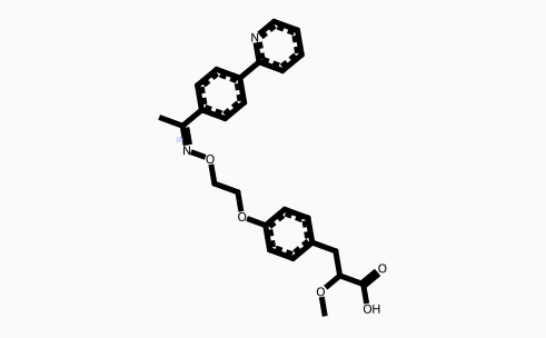 COC(Cc1ccc(OCCO/N=C(/C)c2ccc(-c3ccccn3)cc2)cc1)C(=O)O